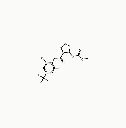 COC(=O)OC1CCCN1C(=O)Cc1c(Cl)cc(C(F)(F)F)cc1Cl